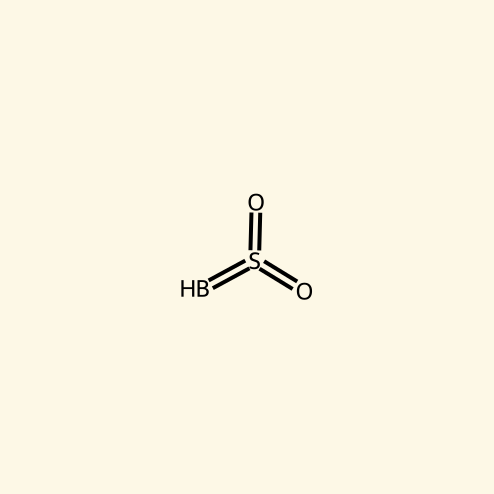 B=S(=O)=O